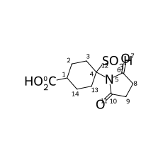 O=C(O)C1CCC(N2C(=O)CCC2=O)(S(=O)(=O)O)CC1